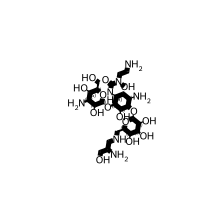 NCCN(O)C(=O)N[C@@H]1C[C@H](N)C(O[C@H]2O[C@H](CNCC(N)CO)[C@@H](O)[C@H](O)[C@H]2O)[C@H](O)[C@H]1O[C@H]1O[C@H](CO)[C@@H](O)[C@H](N)[C@H]1O